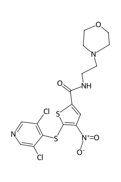 O=C(NCCN1CCOCC1)c1cc([N+](=O)[O-])c(Sc2c(Cl)cncc2Cl)s1